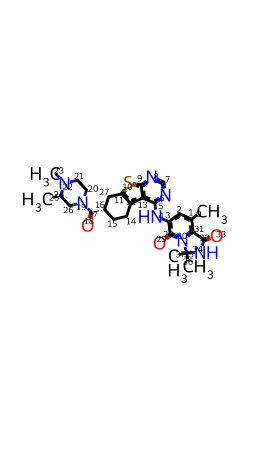 Cc1cc(Nc2ncnc3sc4c(c23)CC[C@H](C(=O)N2CCN(C)[C@H](C)C2)C4)c(=O)n2c1C(=O)NC2(C)C